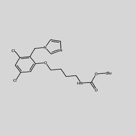 CC(C)(C)OC(=O)NCCCCOc1cc(Cl)cc(Cl)c1Cn1ccnc1